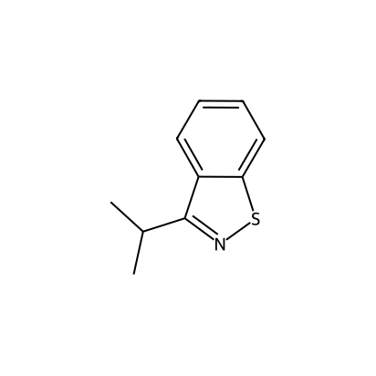 CC(C)c1nsc2ccccc12